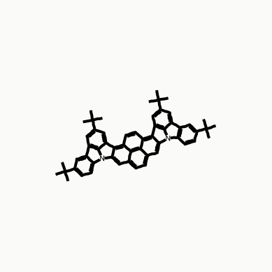 CC(C)(C)c1ccc2c(c1)c1cc(C(C)(C)C)cc3c4c5ccc6c7c(ccc(cc4n2c13)c57)cc1c6c2cc(C(C)(C)C)cc3c4cc(C(C)(C)C)ccc4n1c32